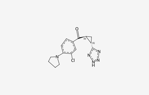 O=C(c1ccc(N2CCCC2)c(Cl)c1)[C@H]1C[C@@H]1c1nn[nH]n1